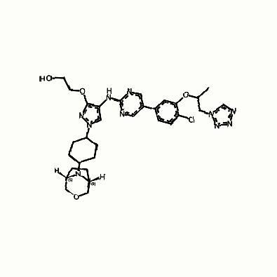 CC(Cn1cnnn1)Oc1cc(-c2cnc(Nc3cn(C4CCC(N5[C@@H]6CC[C@H]5COC6)CC4)nc3OCCO)nc2)ccc1Cl